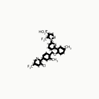 Cc1ccc(OCc2ccc(-c3ncc(C(F)(F)F)cc3Cl)cc2C)c(-c2cccc(-n3ncc(C(=O)O)c3C(F)(F)F)n2)c1